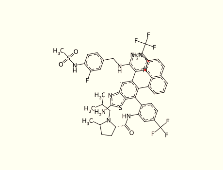 CC(C)CN1C(C)CC[C@H]1C(=O)Nc1cc(C(F)(F)F)ccc1-c1c(-c2cccc3ccc(N)nc23)c(-c2ccc(C(F)(F)F)nc2NCc2ccc(NS(C)(=O)=O)c(F)c2)[c]c2nc(N)sc12